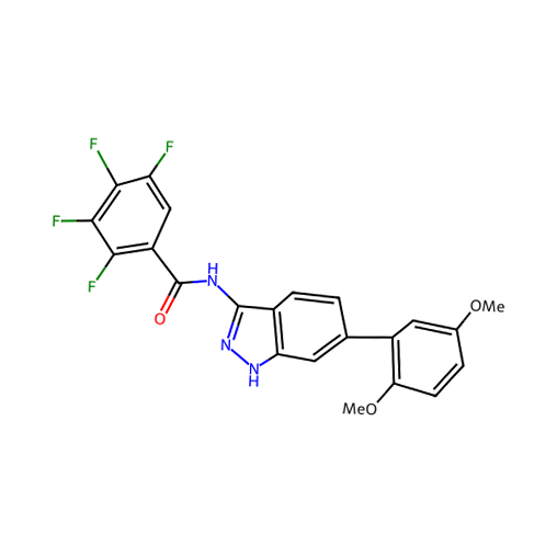 COc1ccc(OC)c(-c2ccc3c(NC(=O)c4cc(F)c(F)c(F)c4F)n[nH]c3c2)c1